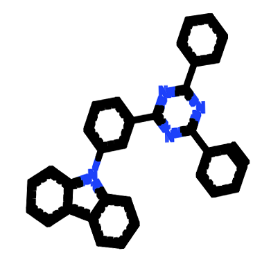 c1cccc(-c2nc(-c3ccccc3)nc(-c3cccc(-n4c5ccccc5c5ccccc54)c3)n2)c#1